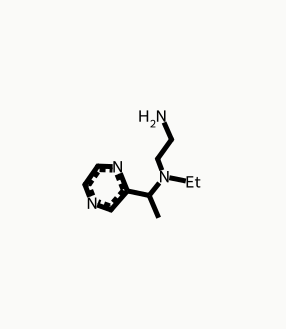 CCN(CCN)C(C)c1cnccn1